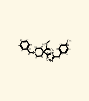 CNC(=O)C1(c2nc(Cc3ccc(F)cc3)no2)CCN(Cc2ccccc2)CC1